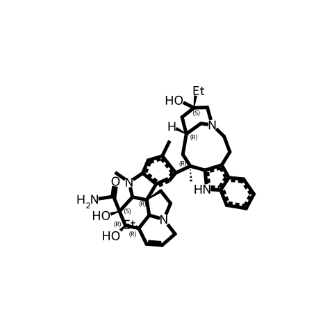 CC[C@]1(O)C[C@@H]2CN(CCc3c([nH]c4ccccc34)[C@@](C)(c3cc4c(cc3C)N(C)C3[C@]45CCN4CC=C[C@](CC)(C45)[C@@H](O)[C@]3(O)C(N)=O)C2)C1